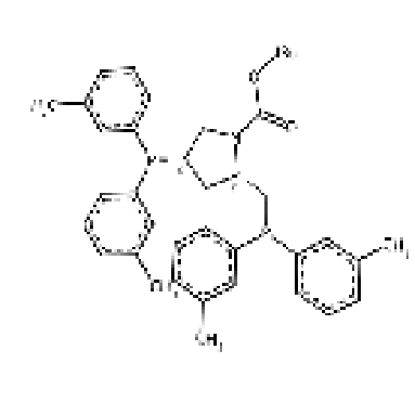 Cc1cccc(P(C[C@@H]2C[C@H](P(c3cccc(C)c3)c3cccc(C)c3)CN2C(=O)OC(C)(C)C)c2cccc(C)c2)c1